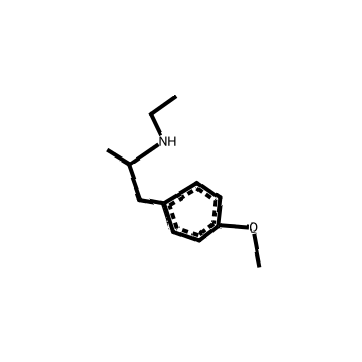 CCNC(C)Cc1ccc(OC)cc1